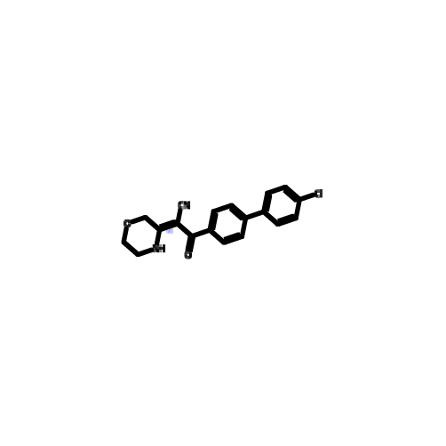 N#C/C(C(=O)c1ccc(-c2ccc(Cl)cc2)cc1)=C1\COCCN1